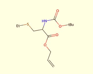 [CH2]CSCC(NC(=O)OC(C)(C)C)C(=O)OCC=C